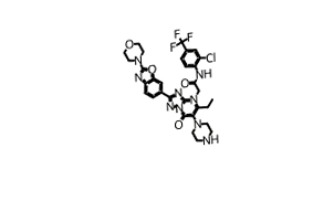 CCc1c(N2CCNCC2)c(=O)n2nc(-c3ccc4nc(N5CCOCC5)oc4c3)nc2n1CC(=O)Nc1ccc(C(F)(F)F)cc1Cl